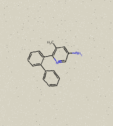 Cc1cc(N)cnc1-c1ccccc1-c1ccccc1